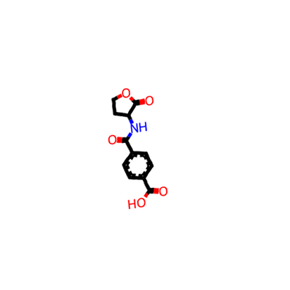 O=C(O)c1ccc(C(=O)NC2CCOC2=O)cc1